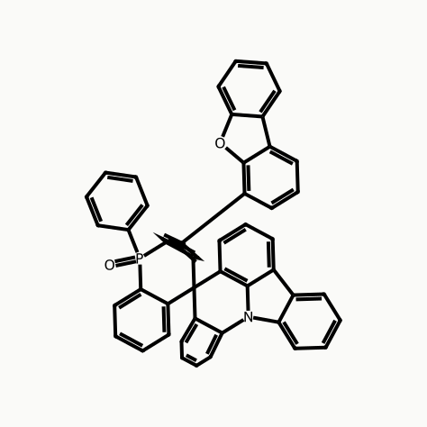 O=P1(c2ccccc2)c2ccccc2C2(c3ccccc3-n3c4ccccc4c4cccc2c43)c2cc(-c3cccc4c3oc3ccccc34)ccc21